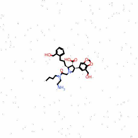 CCCCN(CCN)C(=O)CN1C[C@H](c2cc(CO)c3c(c2)OCO3)[C@@H](C(=O)O)[C@@H]1CCCc1ccccc1CO